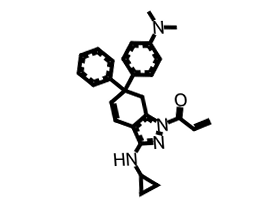 C=CC(=O)n1nc(NC2CC2)c2c1CC(c1ccccc1)(c1ccc(N(C)C)cc1)C=C2